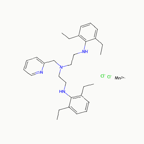 CCc1cccc(CC)c1NCCN(CCNc1c(CC)cccc1CC)Cc1ccccn1.[Cl-].[Cl-].[Mn+2]